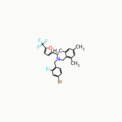 Cc1cc(C)c(CN(Cc2ccc(C(F)(F)F)o2)Cc2ccc(Br)cc2F)c(C)c1